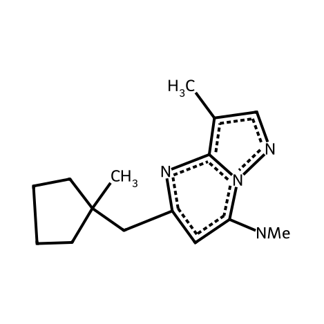 CNc1cc(CC2(C)CCCC2)nc2c(C)cnn12